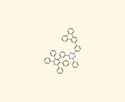 c1ccc(-c2nc(-c3cccc(-c4ccc5c6ccccc6c6ccccc6c5c4)c3)nc(-c3cccc(-c4c(-c5ccccc5)c(-c5ccccc5)nc(-c5ccccc5)c4-c4ccccc4)c3)n2)cc1